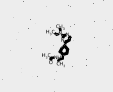 CCN(CC)c1nccc(-c2ccc(CC(C)NC(C)=O)cc2)n1